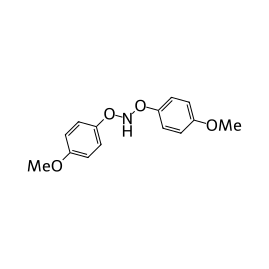 COc1ccc(ONOc2ccc(OC)cc2)cc1